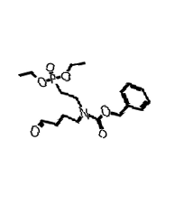 CCOP(=O)(CCN(CCCC=O)C(=O)OCc1ccccc1)OCC